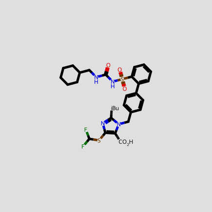 CCC(C)c1nc(SC(F)F)c(C(=O)O)n1Cc1ccc(-c2ccccc2S(=O)(=O)NC(=O)NCC2CCCCC2)cc1